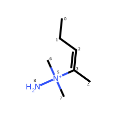 CC/C=C(/C)[N+](C)(C)N